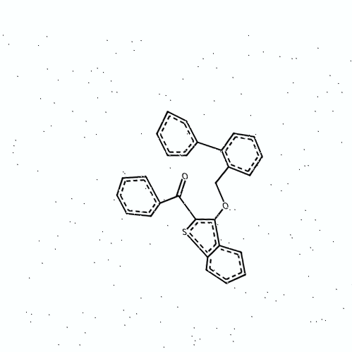 O=C(c1ccccc1)c1sc2ccccc2c1OCc1ccccc1-c1ccccc1